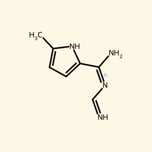 Cc1ccc(/C(N)=N\C=N)[nH]1